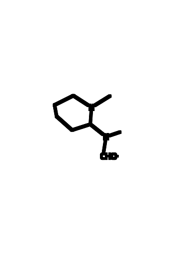 CN([C]=O)C1CCCCN1C